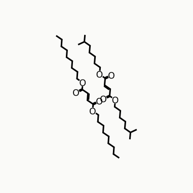 CC(C)CCCCCOC(=O)C=CC(=O)OCCCCCC(C)C.CCCCCCCCCOC(=O)C=CC(=O)OCCCCCCCCC